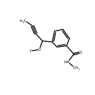 CC#CC(OF)c1cccc(C(=O)NC)c1